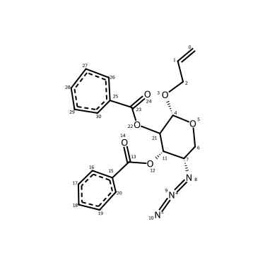 C=CCO[C@@H]1OC[C@H](N=[N+]=[N-])[C@H](OC(=O)c2ccccc2)C1OC(=O)c1ccccc1